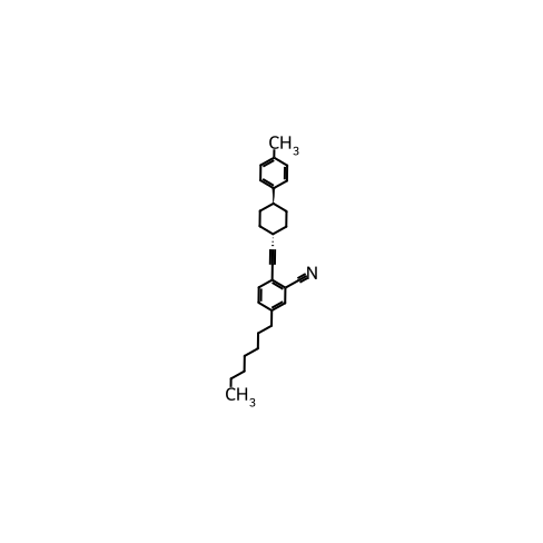 CCCCCCCc1ccc(C#C[C@H]2CC[C@H](c3ccc(C)cc3)CC2)c(C#N)c1